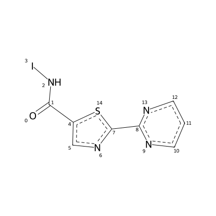 O=C(NI)c1cnc(-c2ncccn2)s1